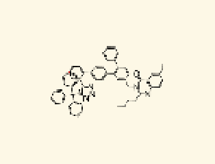 CCCCc1nc2ccc(I)cc2c(=O)n1Cc1ccc(-c2ccccc2)c(-c2ccc(-c3ccccc3-c3nnnn3C(c3ccccc3)(c3ccccc3)c3ccccc3)cc2)c1